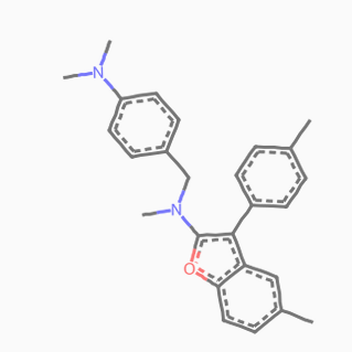 Cc1ccc(-c2c(N(C)Cc3ccc(N(C)C)cc3)oc3ccc(C)cc23)cc1